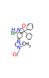 Cc1n([C@H]2CC[C@@H](C(C(N)=O)(c3ccccc3)c3ccccc3)C2)cc[n+]1CC1CO1.[Br-]